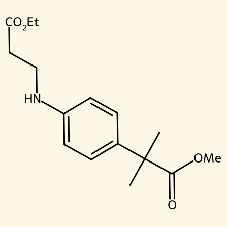 CCOC(=O)CCNc1ccc(C(C)(C)C(=O)OC)cc1